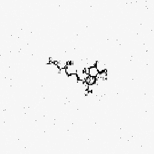 C=C1C[C@H]2[C@H](C=CCC(O)COCC)[C@H](O)C[C@@H]2C1=O